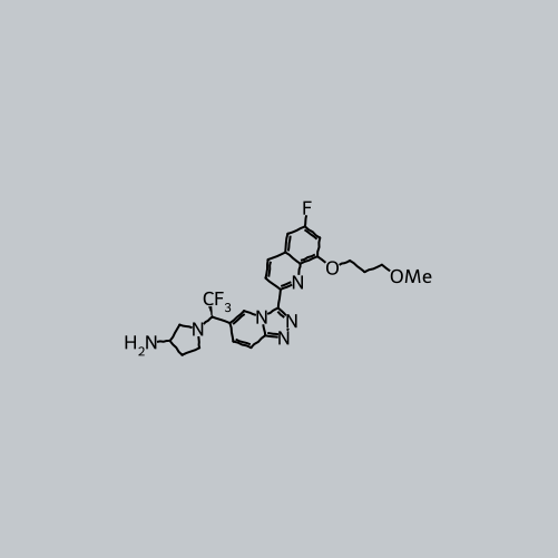 COCCCOc1cc(F)cc2ccc(-c3nnc4ccc([C@@H](N5CCC(N)C5)C(F)(F)F)cn34)nc12